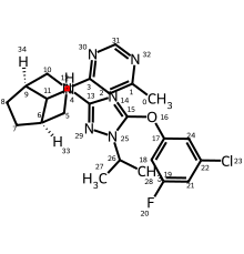 Cc1cc(N2C[C@H]3CC[C@@H](C2)C3Nc2nc(Oc3cc(F)cc(Cl)c3)n(C(C)C)n2)ncn1